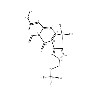 C=Nn1c(/C=C(\C)OC)nc(C(F)(F)F)c(-c2cnn(CCC(F)(F)F)c2)c1=O